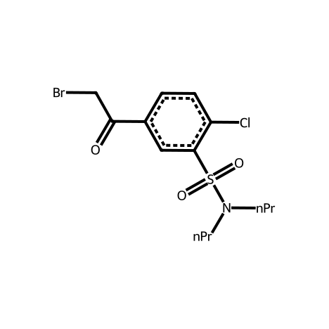 CCCN(CCC)S(=O)(=O)c1cc(C(=O)CBr)ccc1Cl